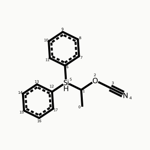 CC(OC#N)[SiH](c1ccccc1)c1ccccc1